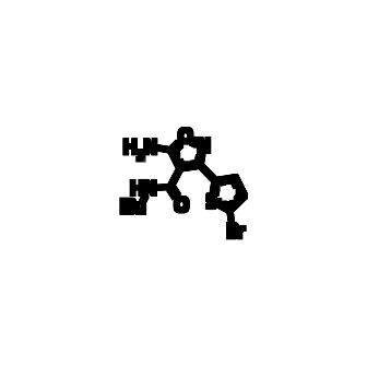 CCC(C)NC(=O)c1c(-c2ccc(Br)s2)noc1N